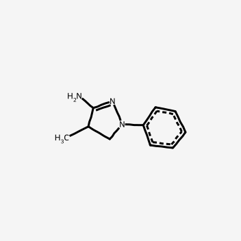 CC1CN(c2ccccc2)N=C1N